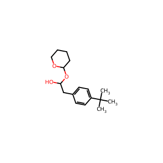 CC(C)(C)c1ccc(CC(O)OC2CCCCO2)cc1